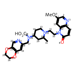 COc1cnc2ccc(=O)n(CCN3CCC(N(Cc4cc5c(cn4)OCCO5)C(=O)O)CC3C)c2c1